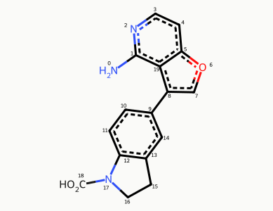 Nc1nccc2occ(-c3ccc4c(c3)CCN4C(=O)O)c12